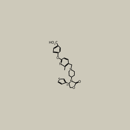 Cc1nc(Oc2ccc(C(=O)O)cc2)ccc1CN1CCC(N2C(=O)OC[C@H]2c2ccsc2)CC1